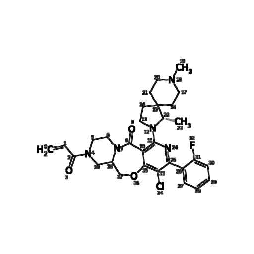 C=CC(=O)N1CCN2C(=O)c3c(N4CCC5(CCN(C)CC5)[C@@H]4C)nc(-c4ccccc4F)c(Cl)c3OCC2C1